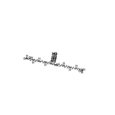 CCNCC(O)CCNCCCCNCCCCNCCCCNCCCCNCCCCNCCCCNCCCCNCCC(O)CNCC.Cl.Cl.Cl.Cl.Cl.Cl.Cl.Cl.Cl.Cl